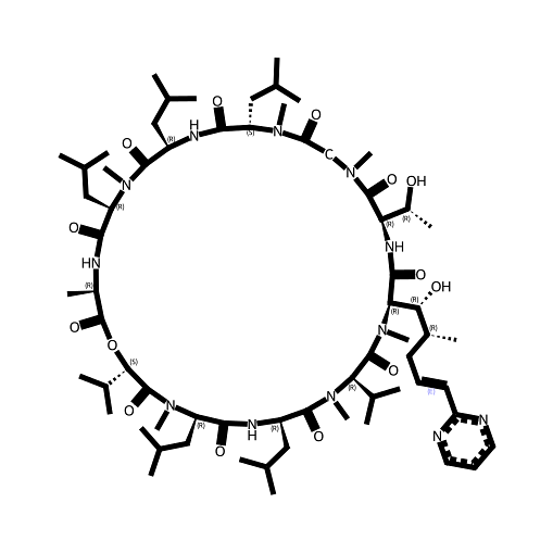 CC(C)C[C@@H]1C(=O)N[C@H](CC(C)C)C(=O)N(C)[C@H](C(C)C)C(=O)N(C)[C@H]([C@H](O)[C@H](C)C/C=C/c2ncccn2)C(=O)N[C@H]([C@@H](C)O)C(=O)N(C)CC(=O)N(C)[C@@H](CC(C)C)C(=O)N[C@H](CC(C)C)C(=O)N(C)[C@H](CC(C)C)C(=O)N[C@H](C)C(=O)O[C@@H](C(C)C)C(=O)N1C